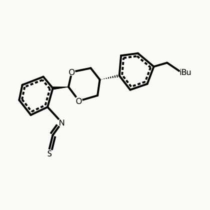 CCC(C)Cc1ccc([C@H]2CO[C@H](c3ccccc3N=C=S)OC2)cc1